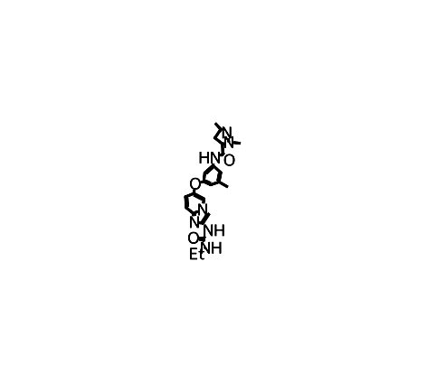 CCNC(=O)Nc1cn2cc(Oc3cc(C)cc(NC(=O)C4CC(C)=NN4C)c3)ccc2n1